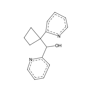 OC(c1ccccn1)C1(c2ccccn2)CCC1